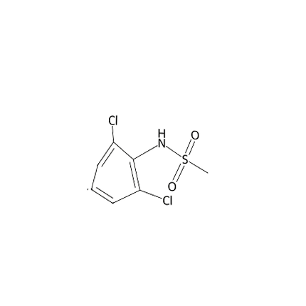 CS(=O)(=O)Nc1c(Cl)c[c]cc1Cl